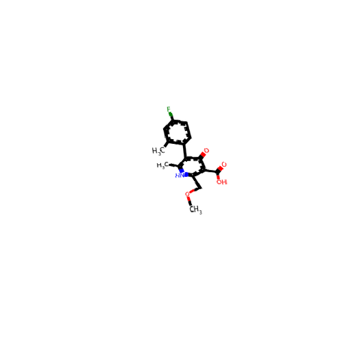 COCc1[nH]c(C)c(-c2ccc(F)cc2C)c(=O)c1C(=O)O